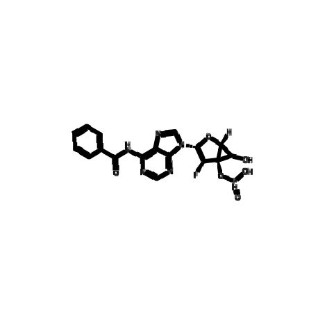 O=C(Nc1ncnc2c1ncn2[C@@H]1O[C@@H]2C(O)[C@]2(O[PH](=O)O)[C@H]1F)c1ccccc1